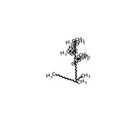 CCCCCCCCCCCC[CH]CCC(CC)C(CCCC)CCCCCCCCCCC(=O)N=CN(CCCCN(CCCNC(=O)OC(C)(C)C)C(=O)OC(C)(C)C)C(=O)OC(C)(C)C